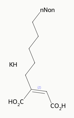 CCCCCCCCCCCCCC/C(=C/C(=O)O)C(=O)O.[KH]